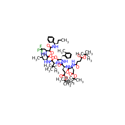 CCC[C@@H](NC(=O)C(=O)C(CC(F)(F)F)NC(=O)[C@H](CC(C)C)NC(=O)[C@@H](NC(=O)[C@H](Cc1ccccc1C)NC(=O)[C@H](CCC(=O)OC(C)(C)C)NC(=O)[C@H](CC(=O)OC(C)(C)C)NC(=O)CCC(=O)OC(C)(C)C)C(C)(C)C)c1ccccc1